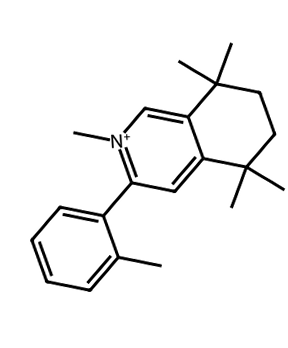 Cc1ccccc1-c1cc2c(c[n+]1C)C(C)(C)CCC2(C)C